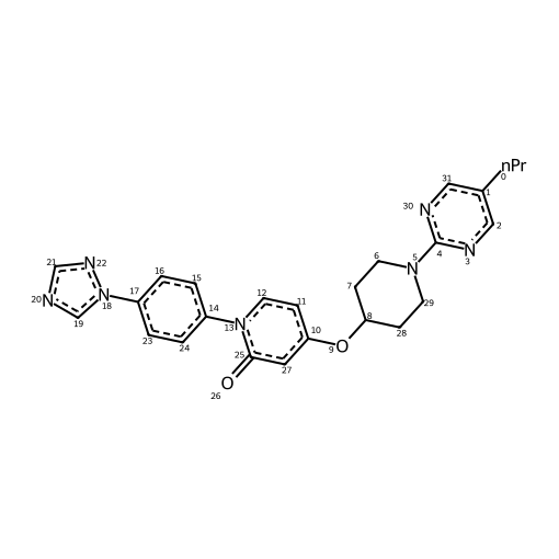 CCCc1cnc(N2CCC(Oc3ccn(-c4ccc(-n5cncn5)cc4)c(=O)c3)CC2)nc1